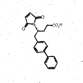 O=C(O)CCC(Cc1ccc(-c2ccccc2)cc1)N1C(=O)C=CC1=O